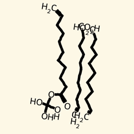 C=CCCCCCCCCC(=O)O.C=CCCCCCCCCC(=O)O.C=CCCCCCCCCC(=O)OC(O)(O)O